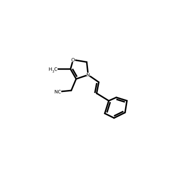 CC1=C(CC#N)N(C=Cc2ccccc2)CO1